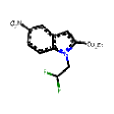 CCOC(=O)c1cc2cc([N+](=O)[O-])ccc2n1CC(F)F